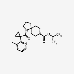 Cc1cccnc1C1(C(=O)N2CCCC23CCN(C(=O)OC(C(F)(F)F)C(F)(F)F)CC3)CC1